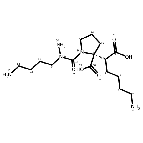 NCCCCC(C(=O)O)[C@@]1(C(=O)O)CCCN1C(=O)N(N)CCCCN